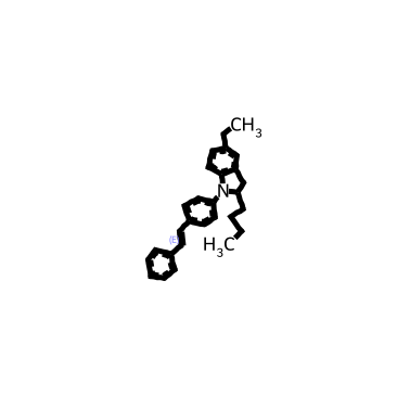 CCCCC1Cc2cc(CC)ccc2N1c1ccc(/C=C/c2ccccc2)cc1